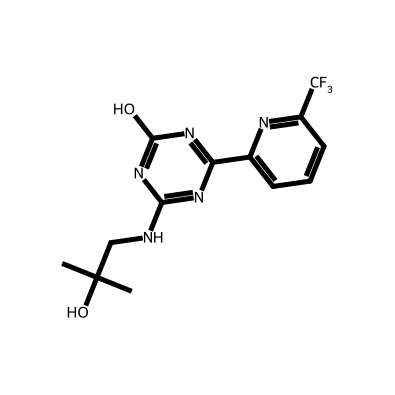 CC(C)(O)CNc1nc(O)nc(-c2cccc(C(F)(F)F)n2)n1